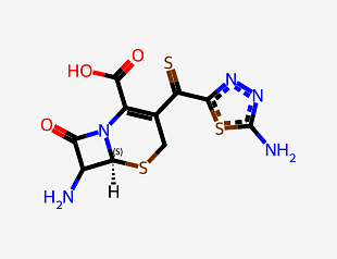 Nc1nnc(C(=S)C2=C(C(=O)O)N3C(=O)C(N)[C@@H]3SC2)s1